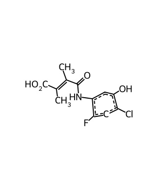 CC(C(=O)O)=C(C)C(=O)Nc1cc(O)c(Cl)cc1F